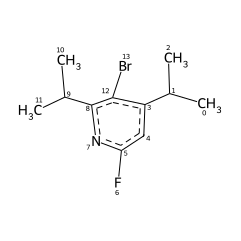 CC(C)c1cc(F)nc(C(C)C)c1Br